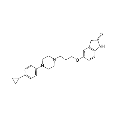 O=C1Cc2cc(OCCCN3CCN(c4ccc(C5CC5)cc4)CC3)ccc2N1